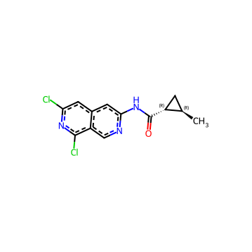 C[C@@H]1C[C@H]1C(=O)Nc1cc2cc(Cl)nc(Cl)c2cn1